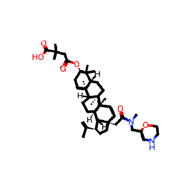 C=C(C)[C@@H]1CC[C@]2(CC(=O)N(C)CC3CNCCO3)CC[C@]3(C)[C@H](CC[C@@H]4[C@@]5(C)CC[C@H](OC(=O)CC(C)(C)C(=O)O)C(C)(C)[C@@H]5CC[C@]43C)[C@@H]12